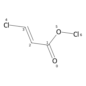 O=C(C=CCl)OCl